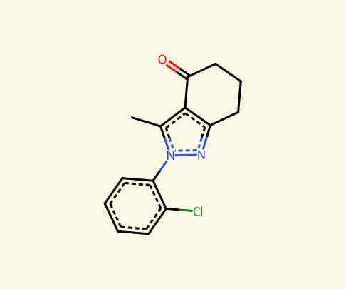 Cc1c2c(nn1-c1ccccc1Cl)CCCC2=O